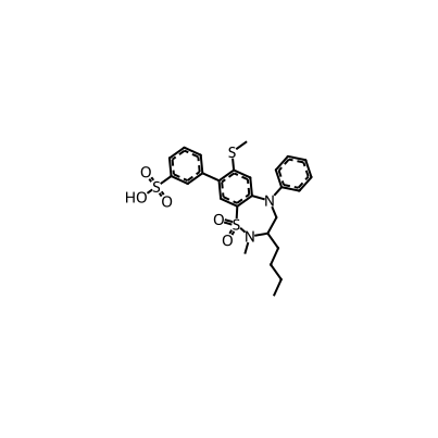 CCCCC1CN(c2ccccc2)c2cc(SC)c(-c3cccc(S(=O)(=O)O)c3)cc2S(=O)(=O)N1C